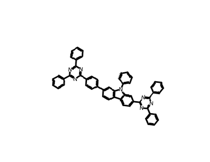 c1ccc(-c2nc(-c3ccccc3)nc(-c3ccc(-c4ccc5c6ccc(-c7nc(-c8ccccc8)nc(-c8ccccc8)n7)cc6n(-c6ccccc6)c5c4)cc3)n2)cc1